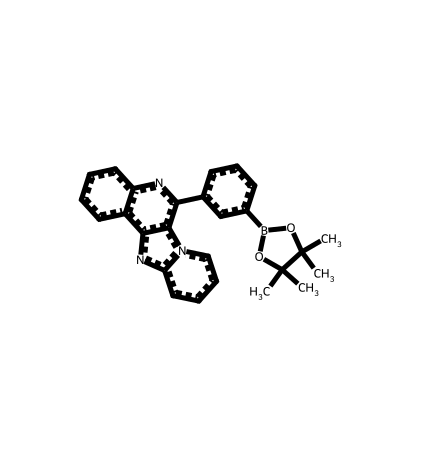 CC1(C)OB(c2cccc(-c3nc4ccccc4c4nc5ccccn5c34)c2)OC1(C)C